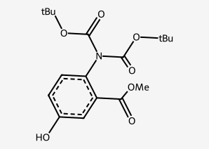 COC(=O)c1cc(O)ccc1N(C(=O)OC(C)(C)C)C(=O)OC(C)(C)C